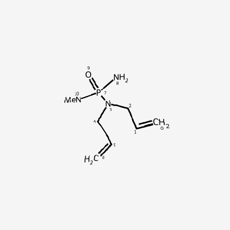 C=CCN(CC=C)P(N)(=O)NC